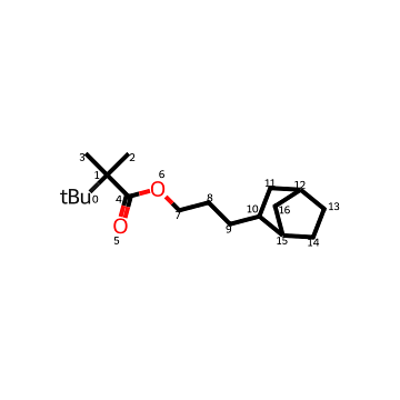 CC(C)(C)C(C)(C)C(=O)OCCCC1CC2CCC1C2